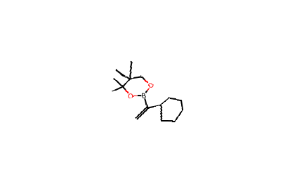 C=C(B1OCC(C)(C)C(C)(C)O1)C1CCCCC1